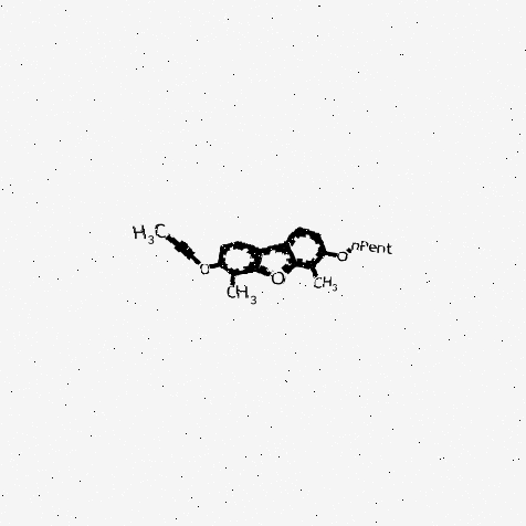 CC#COc1ccc2c(oc3c(C)c(OCCCCC)ccc32)c1C